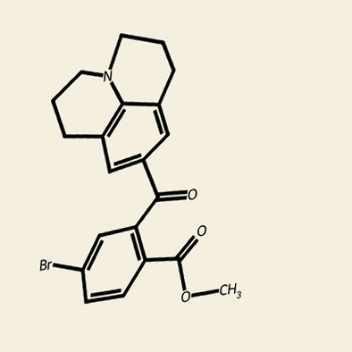 COC(=O)c1ccc(Br)cc1C(=O)c1cc2c3c(c1)CCCN3CCC2